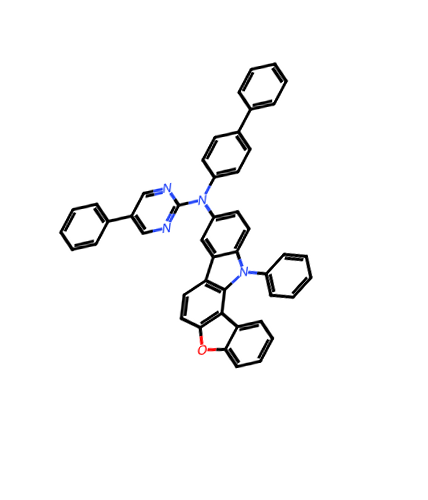 c1ccc(-c2ccc(N(c3ccc4c(c3)c3ccc5oc6ccccc6c5c3n4-c3ccccc3)c3ncc(-c4ccccc4)cn3)cc2)cc1